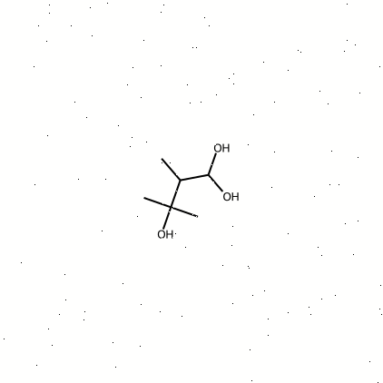 CC(C(O)O)C(C)(C)O